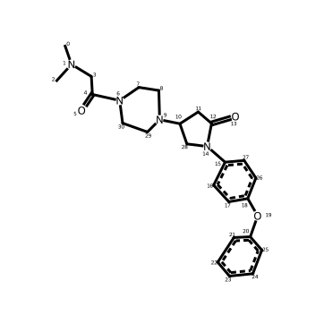 CN(C)CC(=O)N1CCN(C2CC(=O)N(c3ccc(Oc4ccccc4)cc3)C2)CC1